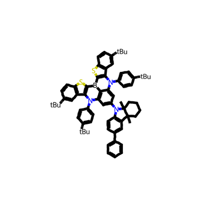 CC(C)(C)c1ccc(N2c3cc(N4c5ccc(-c6ccccc6)cc5C5(C)CCCCC45C)cc4c3B(c3sc5ccc(C(C)(C)C)cc5c32)c2sc3ccc(C(C)(C)C)cc3c2N4c2ccc(C(C)(C)C)cc2)cc1